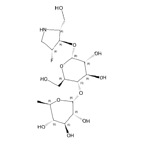 C[C@H]1O[C@H](O[C@H]2[C@H](O)[C@@H](O)[C@@H](O[C@H]3[C@H](F)CN[C@@H]3CO)O[C@@H]2CO)[C@H](O)[C@@H](O)[C@@H]1O